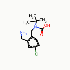 CC(C)(C)N(Cc1ccc(Cl)cc1CN)C(=O)O